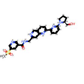 CS(=O)(=O)c1cncc(C(=O)NCc2cc3nc(-c4cccc(N5CCC[C@H]5CO)n4)ccc3cn2)c1